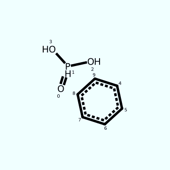 O=[PH](O)O.c1ccccc1